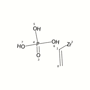 C=[CH][Zr].O=P(O)(O)O